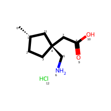 C[C@H]1CC[C@@](CN)(CC(=O)O)C1.Cl